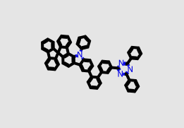 c1ccc(-c2nc(-c3ccccc3)nc(-c3cccc(-c4ccccc4-c4ccc5c(c4)c4ccc6c(c4n5-c4ccccc4)-c4ccccc4C64c5ccccc5-c5ccccc54)c3)n2)cc1